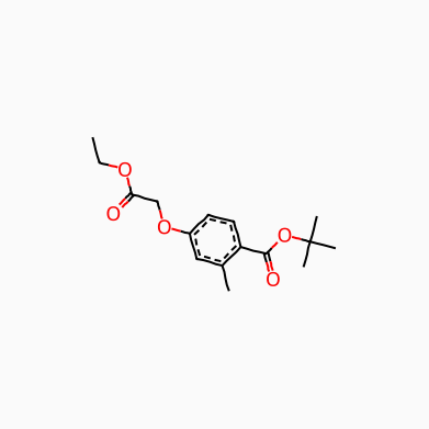 CCOC(=O)COc1ccc(C(=O)OC(C)(C)C)c(C)c1